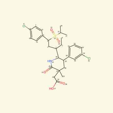 CCC(CC(c1ccc(Cl)cc1)S(=O)(=O)C(C)C)C1NC(=O)C(C)(CC(=O)O)CC1c1cccc(Cl)c1